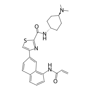 C=CC(=O)Nc1cccc2ccc(-c3csc(C(=O)N[C@H]4CC[C@H](N(C)C)CC4)n3)cc12